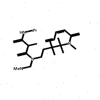 C=C/C=C\C(=C)N(C)C(C)(C)C(C)(C)CCN(CNC)C(=C)C(C)C(=C)NC(C)C